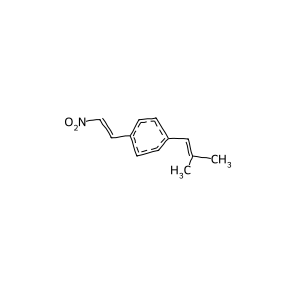 CC(C)=Cc1ccc(/C=C/[N+](=O)[O-])cc1